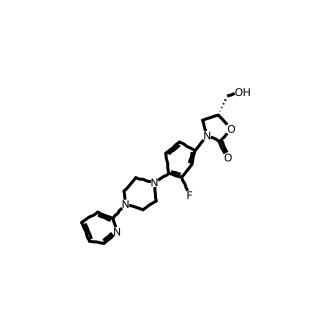 O=C1O[C@@H](CO)CN1c1ccc(N2CCN(c3ccccn3)CC2)c(F)c1